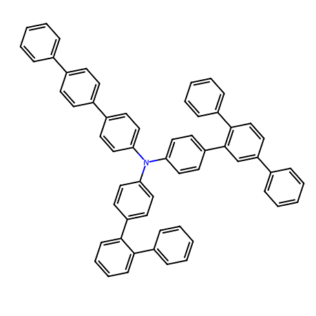 c1ccc(-c2ccc(-c3ccc(N(c4ccc(-c5ccccc5-c5ccccc5)cc4)c4ccc(-c5cc(-c6ccccc6)ccc5-c5ccccc5)cc4)cc3)cc2)cc1